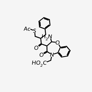 CC(=O)SCC(Cc1ccccc1)C(=O)C1C(=O)N(CC(=O)O)c2ccccc2OC1N